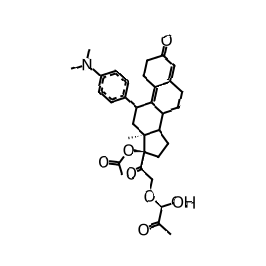 CC(=O)O[C@]1(C(=O)COC(O)C(C)=O)CCC2C3CCC4=CC(=O)CCC4=C3C(c3ccc(N(C)C)cc3)C[C@@]21C